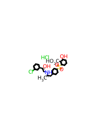 C[C@H](Cc1ccc(S(=O)(=O)c2cccc(O)c2C(=O)O)cc1)NC[C@@H](O)c1cccc(Cl)c1.Cl